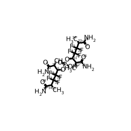 CC(C(N)=O)C(OP(=O)(O)OC(C(C)C(N)=O)C(F)(F)C(F)(F)C(C)C(N)=O)C(F)(F)C(F)(F)C(C)C(N)=O